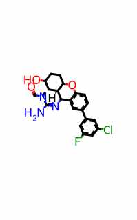 CN(C=O)/C(N)=N\C1c2cc(-c3cc(F)cc(Cl)c3)ccc2OC2CCC(O)C[C@@H]21